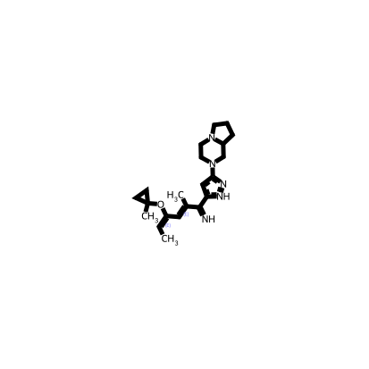 C/C=C(\C=C(/C)C(=N)c1cc(N2CCN3CCCC3C2)n[nH]1)OC1(C)CC1